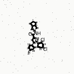 O=C(NN1CC2CCCC2C1)C1=NN(c2ccc(Cl)cc2Cl)[C@@H](c2ccc(F)cc2)C1